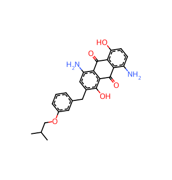 CC(C)COc1cccc(Cc2cc(N)c3c(c2O)C(=O)c2c(N)ccc(O)c2C3=O)c1